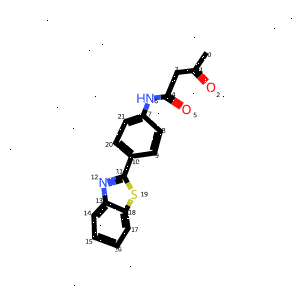 CC(=O)CC(=O)Nc1ccc(-c2nc3ccccc3s2)cc1